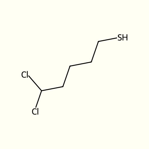 SCCCCC(Cl)Cl